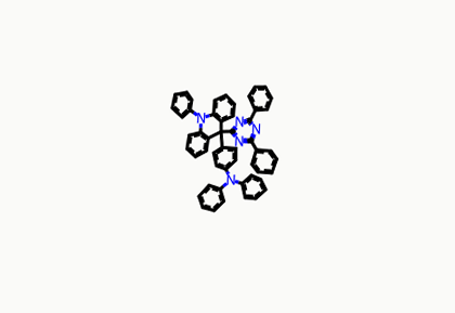 c1ccc(-c2nc(-c3ccccc3)nc(C3(c4ccc(N(c5ccccc5)c5ccccc5)cc4)c4ccccc4N(c4ccccc4)c4ccccc43)n2)cc1